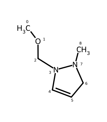 COCN1C=CCN1C